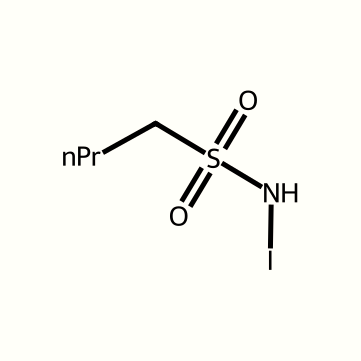 CCCCS(=O)(=O)NI